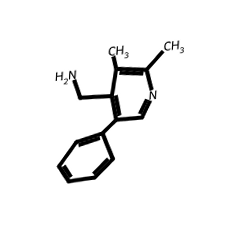 Cc1ncc(-c2ccccc2)c(CN)c1C